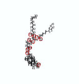 CC/C=C\CCCCCCCC(=O)OCC(COC(=O)CCCCCCC/C=C\CC)OC(=O)CC(C)CC(=O)OCO[C@@H]1CC[C@@]2(C)[C@@H](CC[C@@H]3[C@@H]2CC[C@]2(C)C(C(C)=O)CC[C@@H]32)C1